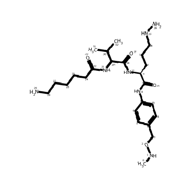 CNOCc1ccc(NC(=O)[C@H](CCCNN)NC(=O)C(NC(=O)CCCCCN)C(C)C)cc1